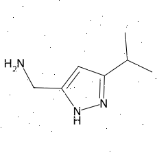 CC(C)c1cc(CN)[nH]n1